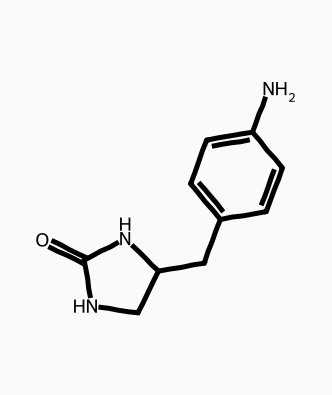 Nc1ccc(CC2CNC(=O)N2)cc1